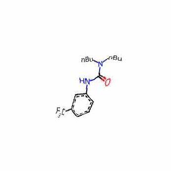 CCCCN(CCCC)C(=O)Nc1cccc(C(F)(F)F)c1